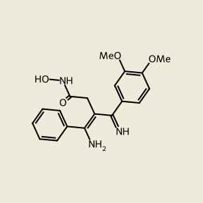 COc1ccc(C(=N)/C(CC(=O)NO)=C(\N)c2ccccc2)cc1OC